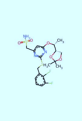 C[C@@H](Oc1cc(CS(N)(=O)=O)nc(SCc2cccc(F)c2F)n1)[C@@H]1COC(C)(C)O1